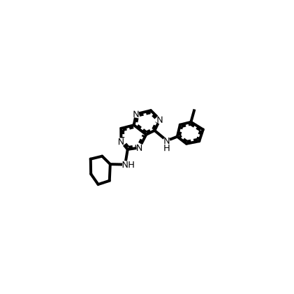 Cc1cccc(Nc2ncnc3cnc(NC4CCCCC4)nc23)c1